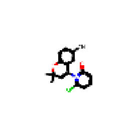 CC1(C)C=C(n2c(Cl)cccc2=O)c2cc(C#N)ccc2O1